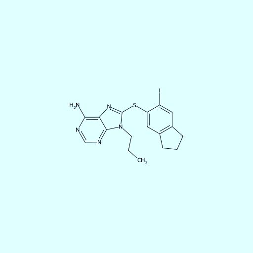 CCCn1c(Sc2cc3c(cc2I)CCC3)nc2c(N)ncnc21